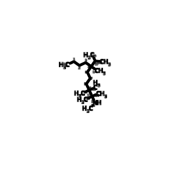 CCCCC(C)(CCCC(C)(C)C(C)(C)NC)C(C)C